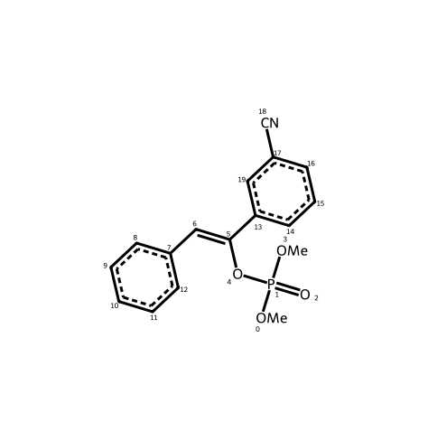 COP(=O)(OC)OC(=Cc1ccccc1)c1cccc(C#N)c1